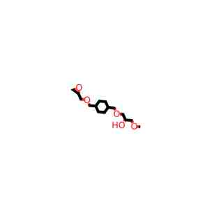 COCC(O)COCC1CCC(COCC2CO2)CC1